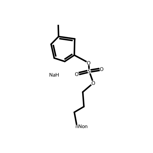 CCCCCCCCCCCCOS(=O)(=O)Oc1cccc(C)c1.[NaH]